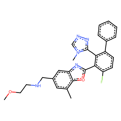 COCCNCc1cc(C)c2oc(-c3c(F)ccc(-c4ccccc4)c3-c3nncn3C)nc2c1